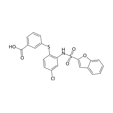 O=C(O)c1cccc(Sc2ccc(Cl)cc2NS(=O)(=O)c2cc3ccccc3o2)c1